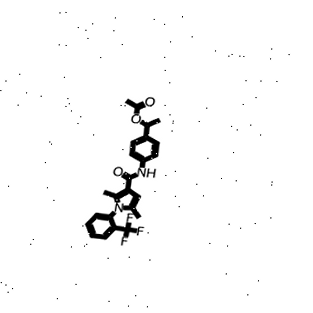 CC(=O)OC(C)c1ccc(NC(=O)c2cc(C)n(-c3ccccc3C(F)(F)F)c2C)cc1